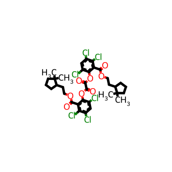 CC1(C)CCCC1CCOC(=O)c1c(Cl)c(Cl)cc(Cl)c1OC(=O)C(=O)Oc1c(Cl)cc(Cl)c(Cl)c1C(=O)OCCC1CCCC1(C)C